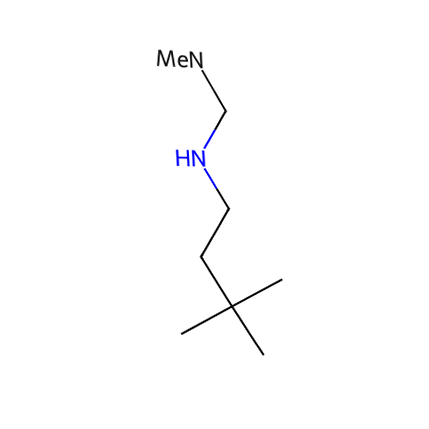 CNCNCCC(C)(C)C